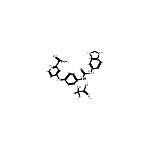 CNC(=O)c1cc(Oc2ccc(NC(=O)Nc3ccc4c(c3)OCO4)cc2)ccn1.O=C(O)C(F)(F)F